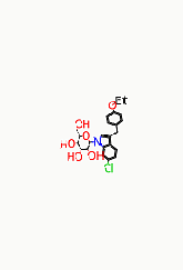 CCOc1ccc(Cc2cn([C@@H]3O[C@H](CO)[C@@H](O)[C@H](O)[C@H]3O)c3cc(Cl)ccc23)cc1